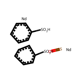 O=S.O=S(=O)(O)c1ccccc1.O=S(=O)(O)c1ccccc1.[Nd].[Nd]